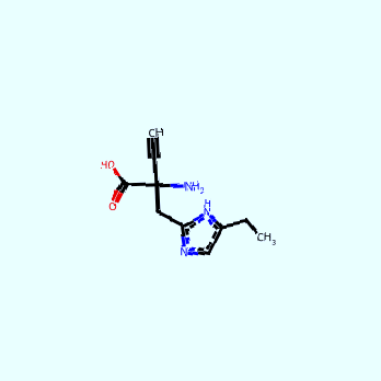 C#CC(N)(Cc1ncc(CC)[nH]1)C(=O)O